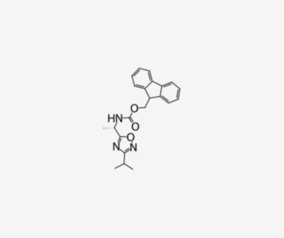 CC(C)c1noc([C@H](C)NC(=O)OCC2c3ccccc3-c3ccccc32)n1